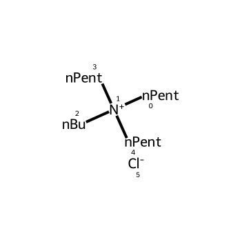 CCCCC[N+](CCCC)(CCCCC)CCCCC.[Cl-]